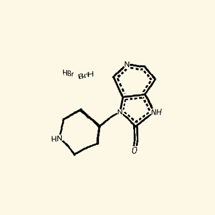 Br.Br.O=c1[nH]c2ccncc2n1C1CCNCC1